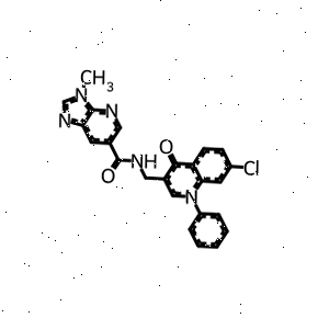 Cn1cnc2cc(C(=O)NCc3cn(-c4ccccc4)c4cc(Cl)ccc4c3=O)cnc21